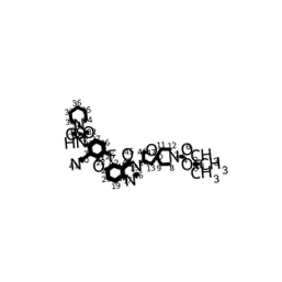 CC(C)(C)OC(=O)N1CCC2(CC1)C[C@@H](n1cnc3ccc(Oc4c(F)ccc(NS(=O)(=O)N5CCCCC5)c4C#N)cc3c1=O)CO2